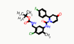 Cc1cc(Cl)c(CNC(=O)OC(C)(C)C)cc1NC(=O)N1C=CC(=O)CC1c1ccc(F)cc1